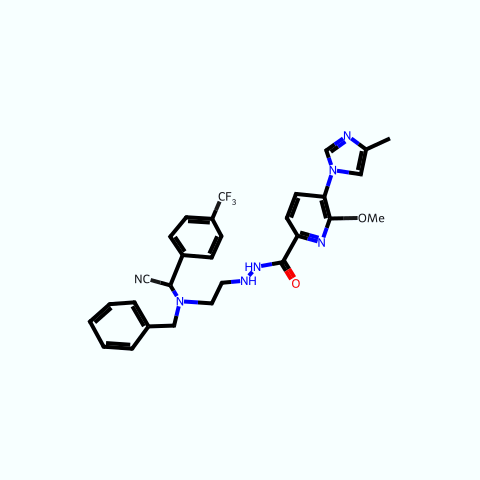 COc1nc(C(=O)NNCCN(Cc2ccccc2)C(C#N)c2ccc(C(F)(F)F)cc2)ccc1-n1cnc(C)c1